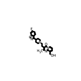 Cc1nc2c(CO)cccn2c(=O)c1CCN1CCC(c2noc3cc(F)ccc23)CC1